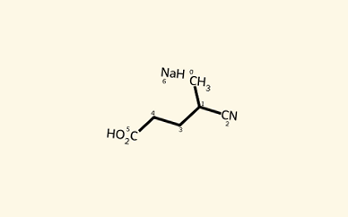 CC(C#N)CCC(=O)O.[NaH]